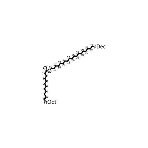 CCCCCCCCC=CCCCCCCCCCC(=O)OCCCCCCCCCCCCCCCCCCCCCCCCCCCCC